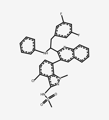 Cn1nc(NS(C)(=O)=O)c2c(Cl)ccc(-c3cc4ccccc4nc3C(Cc3cc(F)cc(F)c3)Nc3ccccc3)c21